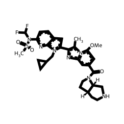 COc1cc(C(=O)N2CC[C@H]3CCNC[C@H]32)cc2nc(-c3cc4ccc(N(C(F)F)S(C)(=O)=O)nc4n3CC3CC3)c(C)n12